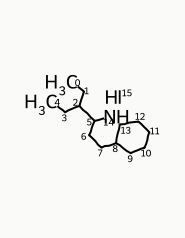 CCC(CC)C1CCC2CCCCC2N1.I